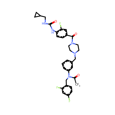 O=C(NCC1CC1)Nc1ccc(C(=O)N2CCN(Cc3cccc(N(Cc4ccc(F)cc4F)C(=O)C(F)(F)F)c3)CC2)cc1F